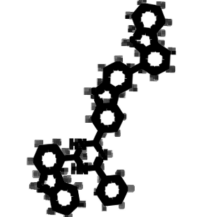 c1ccc(C2=NC(c3ccc4c(c3)sc3ccc(-c5cccc6c5sc5ccccc56)cc34)NC(c3cccc4sc5ccccc5c34)N2)cc1